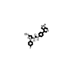 Cn1ncc2c(-c3ccc(NC(=O)Nc4cc(C(C)(C)C)nn4-c4ccc(F)cc4)cc3)cncc21